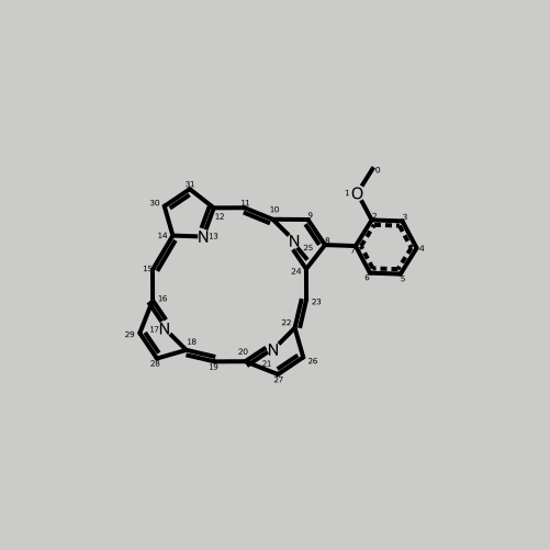 COc1ccccc1C1=CC2=CC3=NC(=CC4=NC(=CC5=NC(=CC1=N2)C=C5)C=C4)C=C3